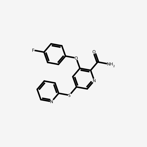 NC(=O)c1ncc(Sc2ccccn2)cc1Oc1ccc(F)cc1